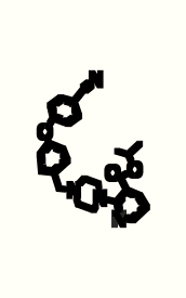 CC(C)OC(=O)c1cccnc1N1CCN(Cc2ccc(Oc3ccc(C#N)cc3)cc2)CC1